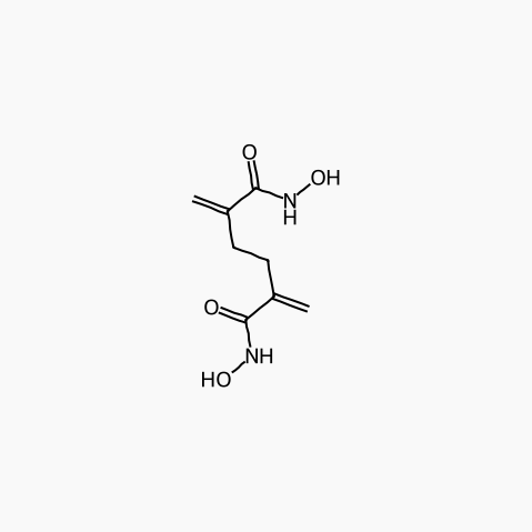 C=C(CCC(=C)C(=O)NO)C(=O)NO